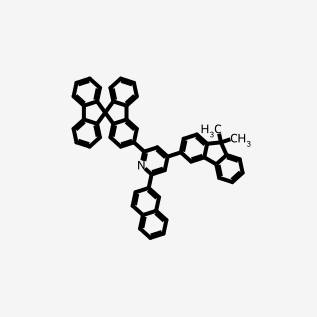 CC1(C)c2ccccc2-c2cc(-c3cc(-c4ccc5c(c4)-c4ccccc4C54c5ccccc5-c5ccccc54)nc(-c4ccc5ccccc5c4)c3)ccc21